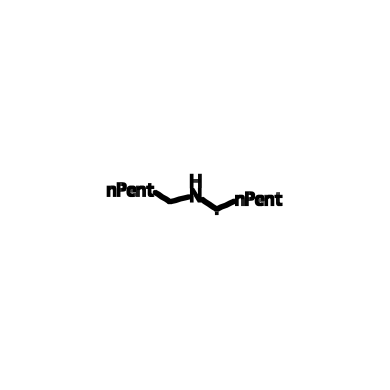 CCCCC[CH]NCCCCCC